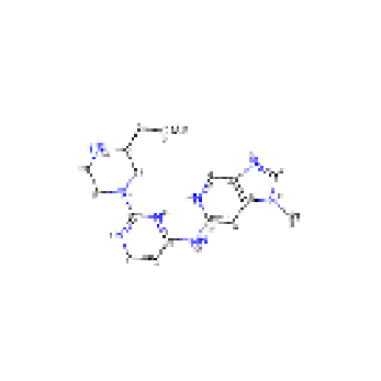 COCC1CN(c2nccc(Nc3cc4c(cn3)ncn4C(C)C)n2)CCN1